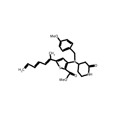 C=C/C=C/C=C(\C)c1cc(N(Cc2ccc(OC)cc2)C2CCNC(=O)C2)c(C(=O)OC)s1